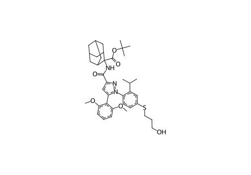 COc1cccc(OC)c1-c1cc(C(=O)NC2(C(=O)OC(C)(C)C)C3CC4CC(C3)CC2C4)nn1-c1ccc(SCCCO)cc1C(C)C